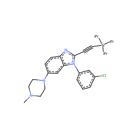 CC(C)[Si](C#Cc1nc2ccc(N3CCN(C)CC3)cc2n1-c1cccc(Cl)c1)(C(C)C)C(C)C